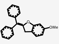 COc1ccc2c(c1)OC(=C(c1ccccc1)c1ccccc1)[CH]2